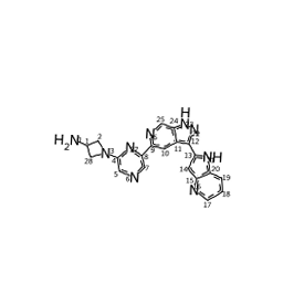 NC1CN(c2cncc(-c3cc4c(-c5cc6ncccc6[nH]5)n[nH]c4cn3)n2)C1